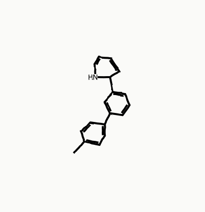 Cc1ccc(-c2cccc(C3C=CC=CN3)c2)cc1